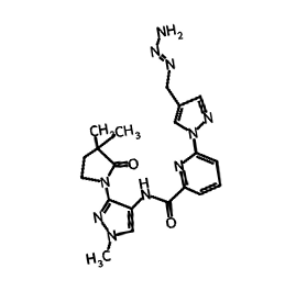 Cn1cc(NC(=O)c2cccc(-n3cc(CN=NN)cn3)n2)c(N2CCC(C)(C)C2=O)n1